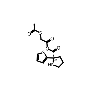 CC(=O)SCC(=O)OC(=O)[C@]1(c2cccs2)CCCN1